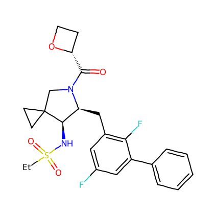 CCS(=O)(=O)N[C@@H]1[C@H](Cc2cc(F)cc(-c3ccccc3)c2F)N(C(=O)[C@H]2CCO2)CC12CC2